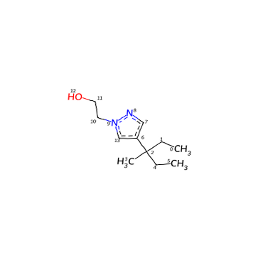 CCC(C)(CC)c1cnn(CCO)c1